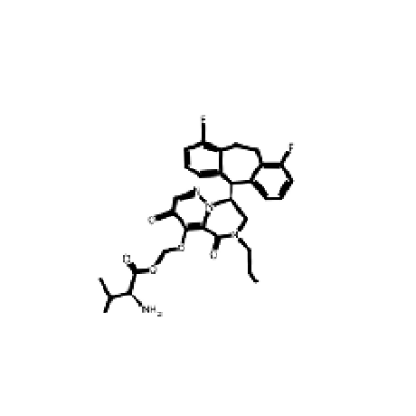 CCCN1C[C@H](C2c3cccc(F)c3CCc3c(F)cccc32)n2ncc(=O)c(OCOC(=O)[C@@H](N)C(C)C)c2C1=O